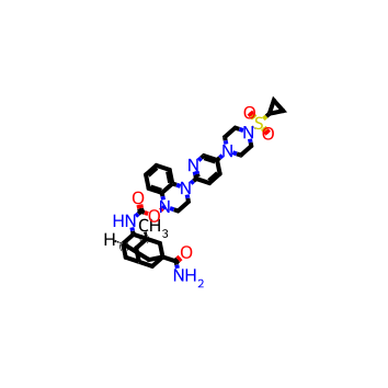 C[C@]12CC3C[C@H](CC(C(N)=O)(C3)C1)C2NC(=O)ON1CCN(c2ccc(N3CCN(S(=O)(=O)C4CC4)CC3)cn2)c2ccccc21